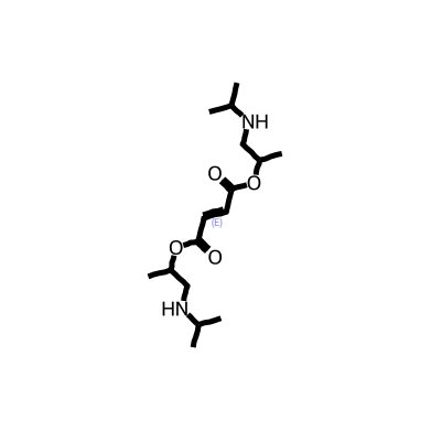 CC(C)NCC(C)OC(=O)/C=C/C(=O)OC(C)CNC(C)C